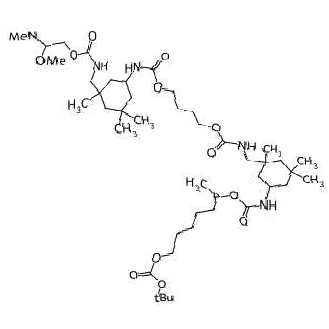 CNC(COC(=O)NCC1(C)CC(NC(=O)OCCCCOC(=O)NCC2(C)CC(NC(=O)OP(C)CCCCCOC(=O)OC(C)(C)C)CC(C)(C)C2)CC(C)(C)C1)OC